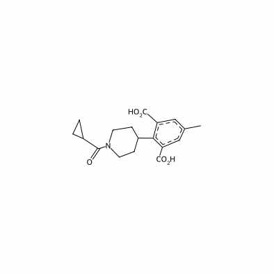 Cc1cc(C(=O)O)c(C2CCN(C(=O)C3CC3)CC2)c(C(=O)O)c1